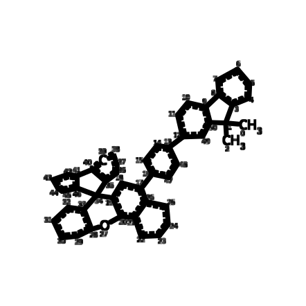 CC1(C)c2ccccc2-c2ccc(-c3ccc(-c4cc5c(c6ccccc46)Oc4ccccc4C54c5ccccc5-c5ccccc54)cc3)cc21